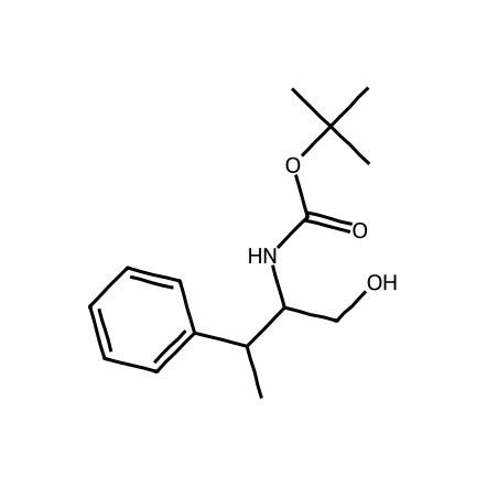 CC(c1ccccc1)C(CO)NC(=O)OC(C)(C)C